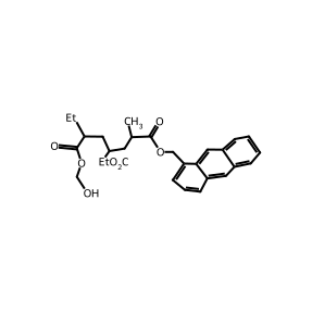 CCOC(=O)C(CC(C)C(=O)OCc1cccc2cc3ccccc3cc12)CC(CC)C(=O)OCO